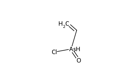 C=C[AsH](=O)Cl